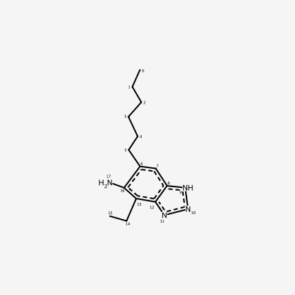 CCCCCCc1cc2[nH]nnc2c(CC)c1N